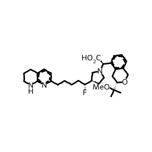 COC(C)(C)[C@@H]1Cc2c(cccc2[C@H](C(=O)O)N2CC[C@@H]([C@H](F)CCCCc3ccc4c(n3)NCCC4)C2)CO1